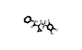 O=C(Nc1ccccc1)C(NS(=O)(=O)c1cc(Br)c(Cl)cc1F)C1CC1